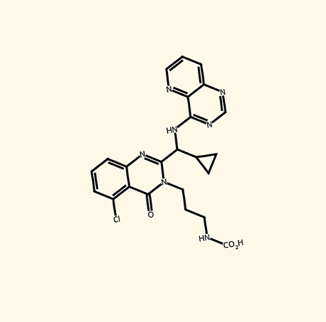 O=C(O)NCCCn1c(C(Nc2ncnc3cccnc23)C2CC2)nc2cccc(Cl)c2c1=O